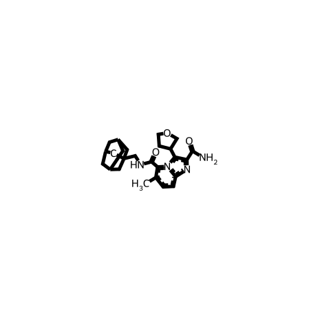 Cc1ccc2nc(C(N)=O)c(C3CCOC3)n2c1C(=O)NCC12CC3CC(CC(C3)C1)C2